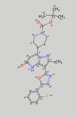 Cc1nn2c(C3CCN(C(=O)OC(C)(C)C)CC3)cc(=O)[nH]c2c1-c1nnc(-c2ccccc2F)o1